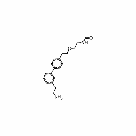 NCCc1cccc(-c2ccc(CCOCCNC=O)cc2)c1